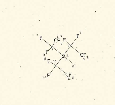 C[Si](C(F)(F)C(F)(F)F)(C(F)(F)C(F)(F)F)C(F)(F)C(F)(F)F